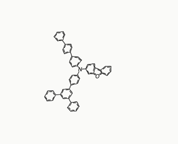 c1ccc(-c2ccc(-c3ccc(N(c4ccc(-c5cc(-c6ccccc6)cc(-c6ccccc6)c5)cc4)c4ccc5c(c4)oc4ccccc45)cc3)cc2)cc1